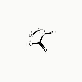 CCO.O=C(OF)C(F)(F)F